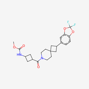 COC(=O)NC1CC(C(=O)N2CCC3(CC2)CC(c2ccc4c(c2)OC(F)(F)O4)C3)C1